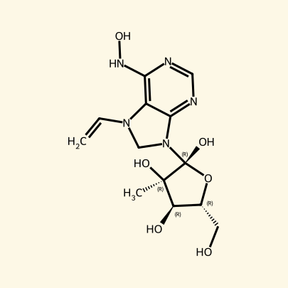 C=CN1CN([C@]2(O)O[C@H](CO)[C@@H](O)[C@@]2(C)O)c2ncnc(NO)c21